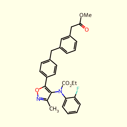 CCOC(=O)N(c1ccccc1F)c1c(C)noc1-c1ccc(Cc2cccc(CC(=O)OC)c2)cc1